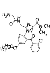 CN(C)C(=O)c1nc(CNC(=O)CN)n(-c2ccc(Cl)cc2C(=O)c2ccccc2Cl)n1.Cl.O.O